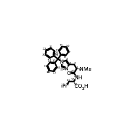 CN[C@@H](Cc1cn(C(c2ccccc2)(c2ccccc2)c2ccccc2)cn1)C(=O)N[C@@H](CC(C)C)C(=O)O